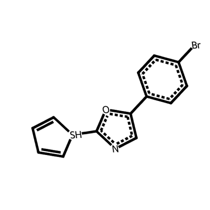 Brc1ccc(-c2cnc([SH]3C=CC=C3)o2)cc1